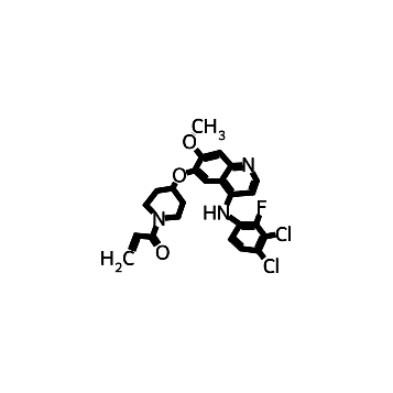 C=CC(=O)N1CCC(Oc2cc3c(Nc4ccc(Cl)c(Cl)c4F)ccnc3cc2OC)CC1